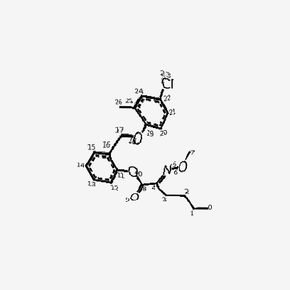 CCCCC(=NOC)C(=O)Oc1ccccc1COc1ccc(Cl)cc1C